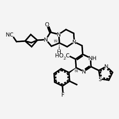 Cc1c(F)cccc1[C@@H]1N=C(c2nccs2)NC(CN2CCN3C(=O)N(C45CC(CC#N)(C4)C5)C[C@@H]3C2)=C1C(=O)O